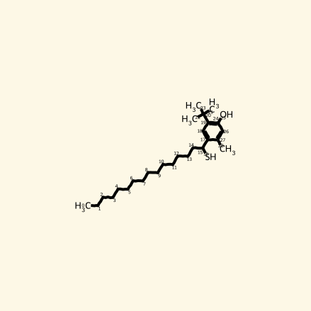 CCCCCCCCCCCCCCCC(S)c1cc(C(C)(C)C)c(O)cc1C